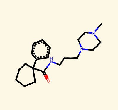 CN1CCN(CCCNC(=O)C2(c3ccccc3)CCCCC2)CC1